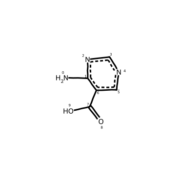 Nc1ncn[c]c1C(=O)O